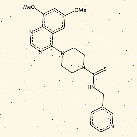 COc1cc(OC)c2ncnc(N3CCN(C(=S)NCc4cccnc4)CC3)c2c1